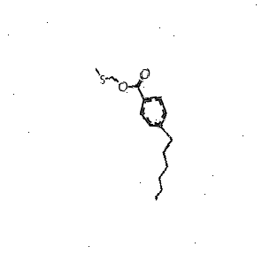 CCCCCCc1ccc(C(=O)OCSC)cc1